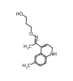 C/C(=N\OCCCO)C1=CCNc2ccc(C)cc21